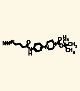 CC(C)(C)OC(=O)N1CCN(c2ccc(NC(=O)CCCN=[N+]=[N-])cc2)CC1